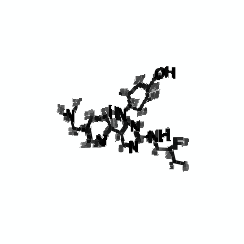 CCC(F)CNc1ncc(-c2ccc(CN(C)C)cn2)c(NC2CCC(O)CC2)n1